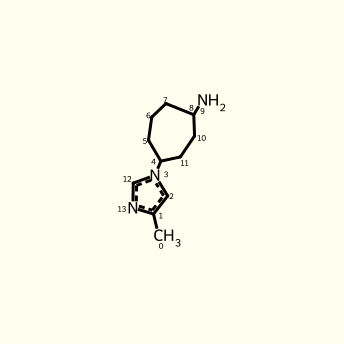 Cc1cn(C2CCCC(N)CC2)cn1